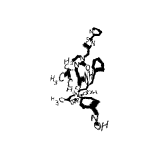 CC(C)CN(C[C@@H](O)[C@H](Cc1ccccc1)NC(=O)[C@@H](N1CCN(Cc2csc(-c3ccccn3)n2)C1=O)C(C)(C)C)S(=O)(=O)c1ccc(C=NO)cc1